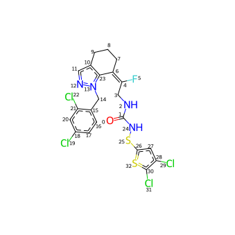 O=C(NC/C(F)=C1/CCCc2cnn(Cc3ccc(Cl)cc3Cl)c21)NSc1cc(Cl)c(Cl)s1